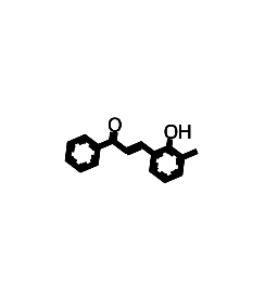 Cc1cccc(/C=C/C(=O)c2ccccc2)c1O